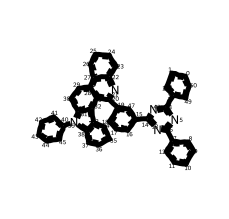 c1ccc(-c2nc(-c3ccccc3)nc(-c3cccc(-c4nc5ccccc5c5ccc6c(c7ccccc7n6-c6ccccc6)c45)c3)n2)cc1